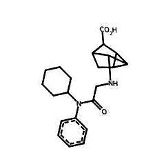 O=C(O)C1C2CC3C(C2NCC(=O)N(c2ccccc2)C2CCCCC2)C31